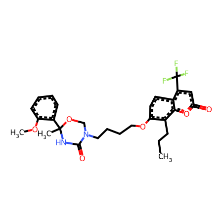 CCCc1c(OCCCCN2COC(C)(c3ccccc3OC)NC2=O)ccc2c(C(F)(F)F)cc(=O)oc12